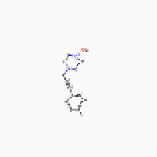 [CH2]c1ccc(C#CCN2CC[NH+]([O-])CC2)cc1